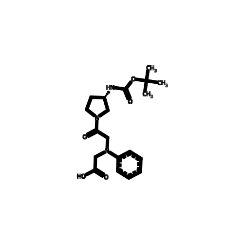 CC(C)(C)OC(=O)N[C@H]1CCN(C(=O)CN(CC(=O)O)c2ccccc2)C1